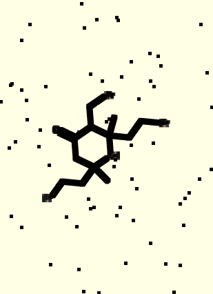 CC(C)CCC1(C)CC(=O)C(CC(C)C)C(C)(CCC(C)C)N1